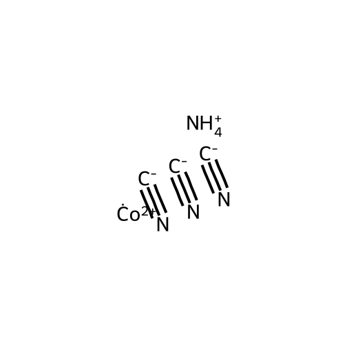 [C-]#N.[C-]#N.[C-]#N.[Co+2].[NH4+]